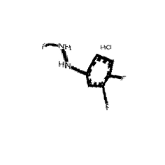 Cl.FNNc1ccc(F)c(F)c1